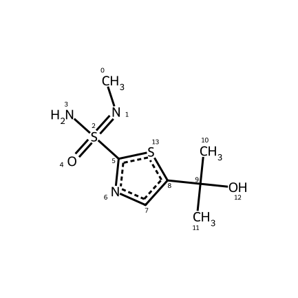 CN=S(N)(=O)c1ncc(C(C)(C)O)s1